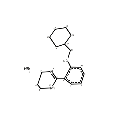 Br.c1ccc(C2=NCCCN2)c(SCC2CCCCC2)c1